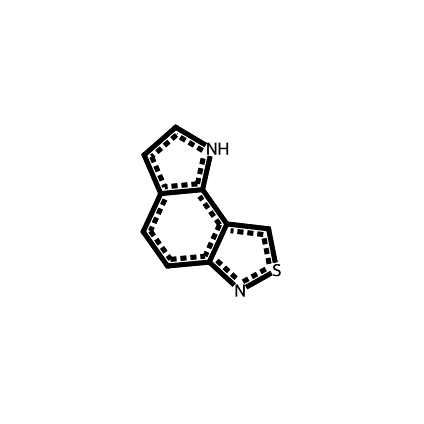 c1cc2ccc3nscc3c2[nH]1